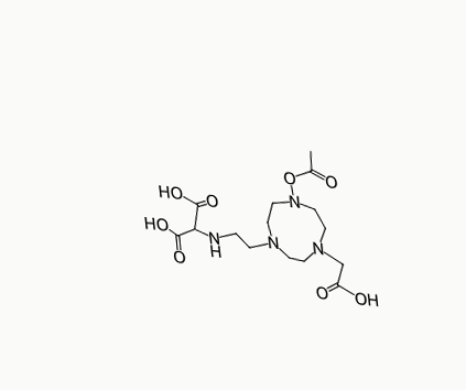 CC(=O)ON1CCN(CCNC(C(=O)O)C(=O)O)CCN(CC(=O)O)CC1